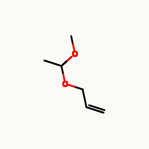 C=CCOC(C)OC